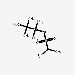 CC(C)S(=O)(=O)N[Si](C)(C)C(C)(C)C